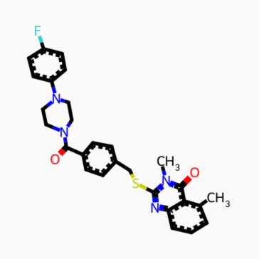 Cc1cccc2nc(SCc3ccc(C(=O)N4CCN(c5ccc(F)cc5)CC4)cc3)n(C)c(=O)c12